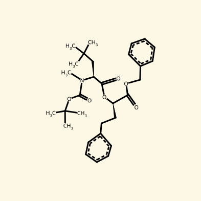 CN(C(=O)OC(C)(C)C)[C@@H](CC(C)(C)C)C(=O)O[C@H](CCc1ccccc1)C(=O)OCc1ccccc1